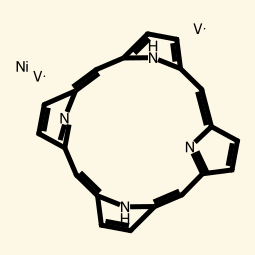 C1=Cc2cc3ccc(cc4nc(cc5ccc(cc1n2)[nH]5)C=C4)[nH]3.[Ni].[V].[V]